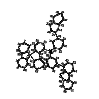 c1ccc(C2(c3ccccc3)c3ccccc3-c3c(N(c4cccc(-c5ccc6ccccc6c5)c4)c4cccc(-c5cccc6c5sc5ccccc56)c4)cccc32)cc1